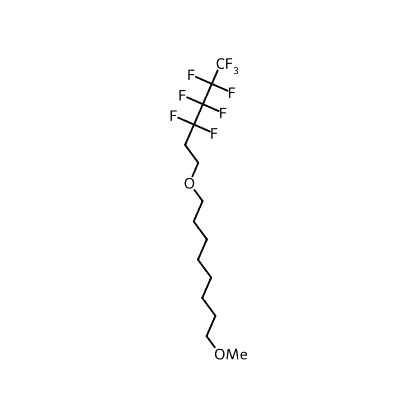 COCCCCCCCCOCCC(F)(F)C(F)(F)C(F)(F)C(F)(F)F